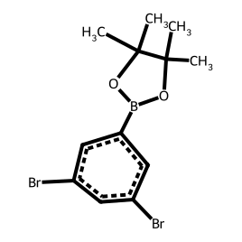 CC1(C)OB(c2cc(Br)cc(Br)c2)OC1(C)C